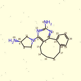 Nc1nc2c(c(N3CC[C@@H](N)C3)n1)CCCCCc1ccccc1-2